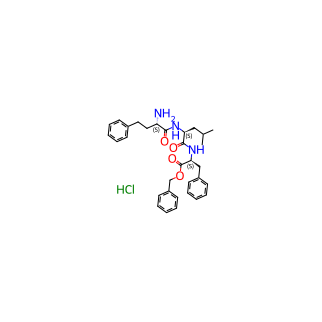 CC(C)C[C@H](NC(=O)[C@@H](N)CCc1ccccc1)C(=O)N[C@@H](Cc1ccccc1)C(=O)OCc1ccccc1.Cl